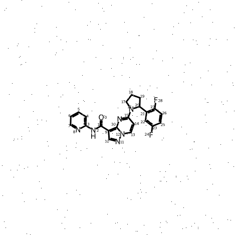 O=C(Nc1ccccn1)c1cnn2ccc(N3CCCC3c3cc(F)ccc3F)nc12